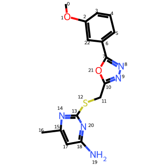 COc1cccc(-c2nnc(CSc3nc(C)cc(N)n3)o2)c1